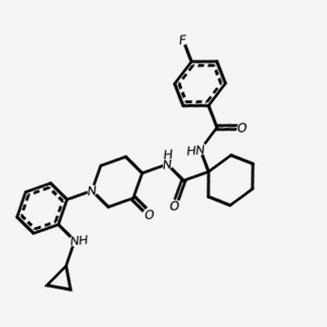 O=C(NC1(C(=O)NC2CCN(c3ccccc3NC3CC3)CC2=O)CCCCC1)c1ccc(F)cc1